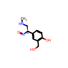 CNC[C@H](N=O)c1ccc(O)c(CO)c1